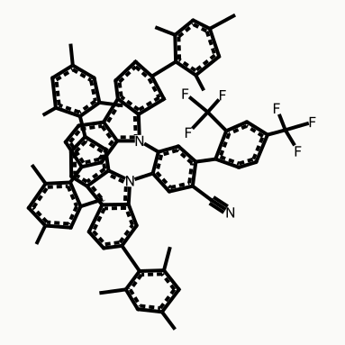 Cc1cc(C)c(-c2ccc3c4ccc(-c5c(C)cc(C)cc5C)cc4n(-c4cc(C#N)c(-c5ccc(C(F)(F)F)cc5C(F)(F)F)cc4-n4c5cc(-c6c(C)cc(C)cc6C)ccc5c5ccc(-c6c(C)cc(C)cc6C)cc54)c3c2)c(C)c1